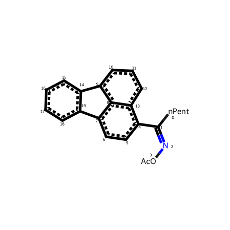 CCCCC/C(=N/OC(C)=O)c1ccc2c3c(cccc13)-c1ccccc1-2